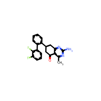 Cc1nc(N)nc2c1C(=O)CC(c1ccccc1-c1cccc(F)c1F)C2